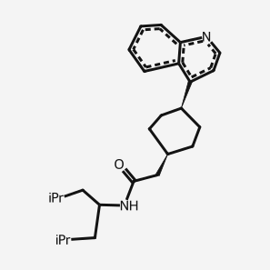 CC(C)CC(CC(C)C)NC(=O)C[C@H]1CC[C@@H](c2ccnc3ccccc32)CC1